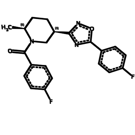 C[C@H]1CC[C@@H](c2noc(-c3ccc(F)cc3)n2)CN1C(=O)c1ccc(F)cc1